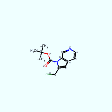 CC(C)(C)OC(=O)n1c(CCl)cc2ccncc21